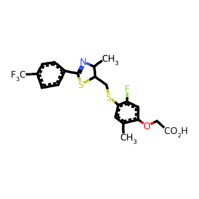 Cc1cc(SCC2SC(c3ccc(C(F)(F)F)cc3)=NC2C)c(F)cc1OCC(=O)O